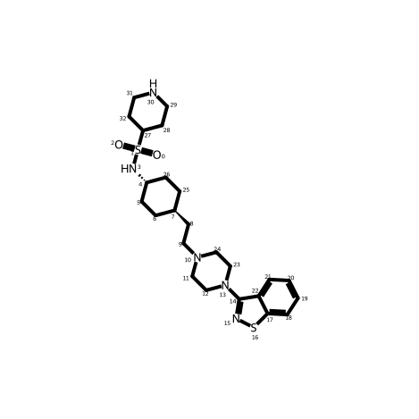 O=S(=O)(N[C@H]1CC[C@H](CCN2CCN(c3nsc4ccccc34)CC2)CC1)C1CCNCC1